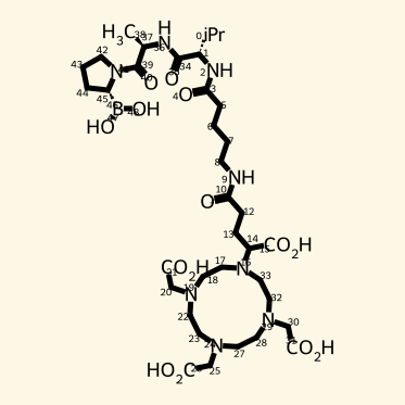 CC(C)[C@H](NC(=O)CCCCNC(=O)CCC(C(=O)O)N1CCN(CC(=O)O)CCN(CC(=O)O)CCN(CC(=O)O)CC1)C(=O)N[C@H](C)C(=O)N1CCC[C@H]1B(O)O